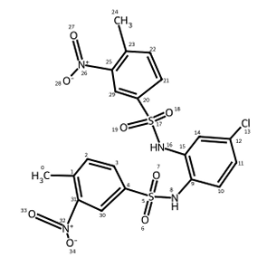 Cc1ccc(S(=O)(=O)Nc2ccc(Cl)cc2NS(=O)(=O)c2ccc(C)c([N+](=O)[O-])c2)cc1[N+](=O)[O-]